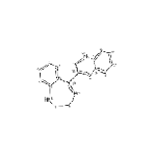 c1ccc2c(c1)NCCN=C2c1cnc2ccccc2c1